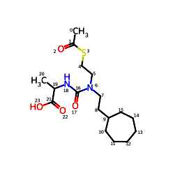 CC(=O)SCCN(CCC1CCCCCC1)C(=O)NC(C)C(=O)O